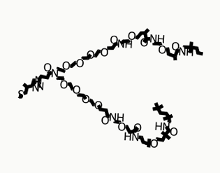 CCCC(C)(C)CNC(=O)C(C)CCOCCNC(=O)C(C)CCOCCNC(=O)CCOCCOCCOCCOCCN(CCOCCOCCOCCOCCC(=O)NCCOCCC(=O)NCCC(C)(C)OCCC(C)(C)C(=O)NCC(C)(C)CCC(C)(C)C)C(=O)CCn1cc(C(C)CSC)nn1